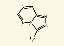 Sc1cnc2cccnn12